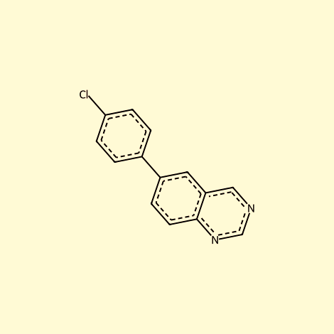 Clc1ccc(-c2ccc3ncncc3c2)cc1